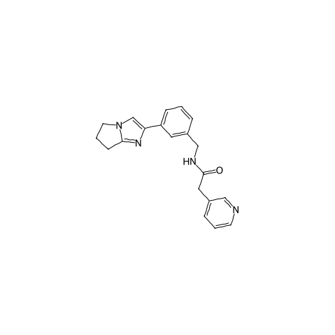 O=C(Cc1cccnc1)NCc1cccc(-c2cn3c(n2)CCC3)c1